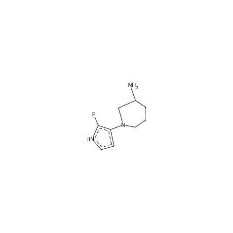 NC1CCCN(c2cc[nH]c2F)C1